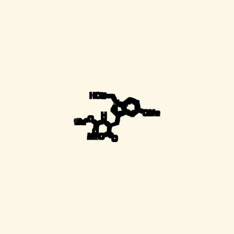 C#CCn1cc(C[C@H](NC(=O)OC(C)(C)C)C(=O)OC)c2cc(OC)ccc21